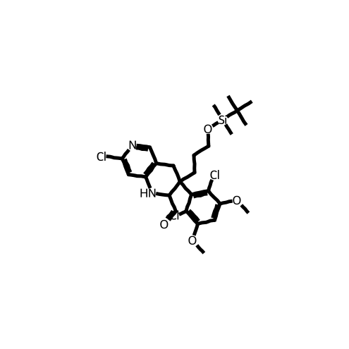 COc1cc(OC)c(Cl)c(C2(CCCO[Si](C)(C)C(C)(C)C)Cc3cnc(Cl)cc3NC2C=O)c1Cl